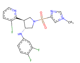 Cn1cnc(S(=O)(=O)N2C[C@H](Nc3ccc(F)c(F)c3)[C@@H](c3ncccc3F)C2)c1